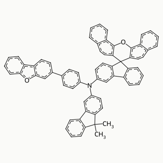 CC1(C)c2ccccc2-c2cc(N(c3ccc(-c4ccc5c(c4)oc4ccccc45)cc3)c3ccc4c(c3)-c3ccccc3C43c4ccc5ccccc5c4Oc4c3ccc3ccccc43)ccc21